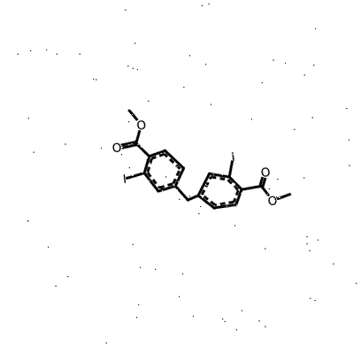 COC(=O)c1ccc(Cc2ccc(C(=O)OC)c(I)c2)cc1I